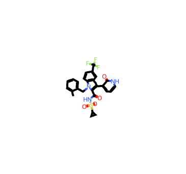 Cc1ccccc1Cn1c(C(=O)NS(=O)(=O)C2CC2)c(-c2ccc[nH]c2=O)c2cc(C(F)(F)F)ccc21